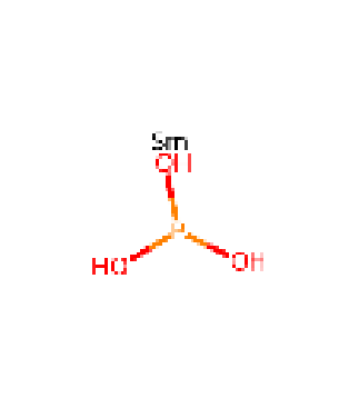 OP(O)O.[Sm]